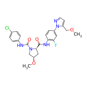 COCc1ccnn1-c1ccc(NC(=O)[C@H]2C[C@@H](OC)CN2C(=O)Nc2ccc(Cl)cc2)c(F)c1